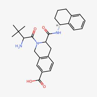 CC(C)(C)C(N)C(=O)N1Cc2cc(C(=O)O)ccc2CC1C(=O)N[C@@H]1CCCc2ccccc21